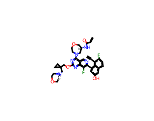 C#Cc1c(F)ccc2cc(O)cc(-c3ncc4c(N5CCOC[C@@H](NC(=O)C=C)C5)nc(OCC5(CN6CCOCC6)CC5)nc4c3F)c12